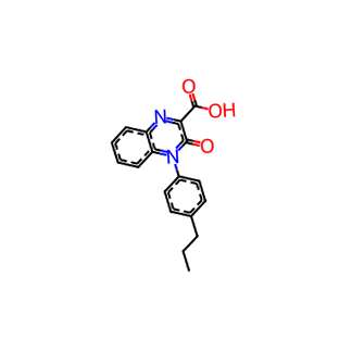 CCCc1ccc(-n2c(=O)c(C(=O)O)nc3ccccc32)cc1